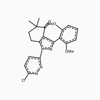 COc1cccc(OC)c1-c1nn(-c2ccc(Cl)nn2)c2c1C(=O)C(C)(C)CC2